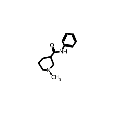 CN1CCCC(C(=O)Nc2ccccc2)C1